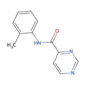 Cc1ccccc1NC(=O)c1ccncn1